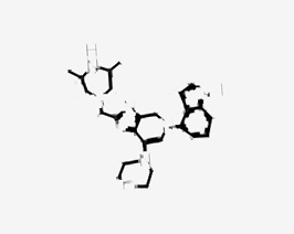 CC1CN(Cc2nc3c(s2)C(N2CCOCC2)=CN(c2cccc4[nH]ccc24)C3)CC(C)N1